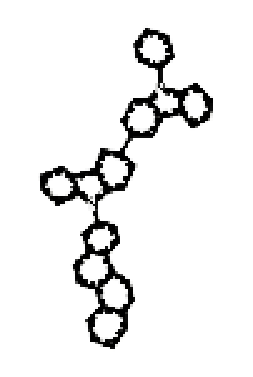 c1ccc(-n2c3ccccc3c3cc(-c4ccc5c(c4)c4ccccc4n5-c4ccc5c(ccc6c7ccccc7ccc56)c4)ccc32)cc1